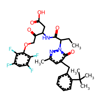 CCC(C(=O)NC(CC(=O)O)C(=O)COc1c(F)c(F)cc(F)c1F)n1nc(C)cc(Cc2ccccc2C(C)(C)C)c1=O